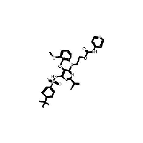 COc1ccccc1Oc1c(NS(=O)(=O)c2ccc(C(C)(C)C)cc2)nc(C(C)C)nc1OCCOC(=O)Nc1ccncc1